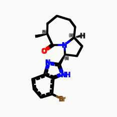 C[C@H]1CCCC[C@H]2CC[C@@H](c3nc4cccc(Br)c4[nH]3)N2C1=O